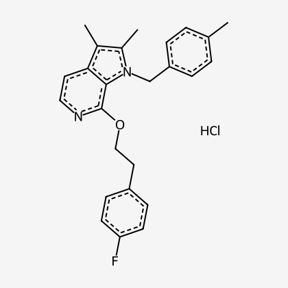 Cc1ccc(Cn2c(C)c(C)c3ccnc(OCCc4ccc(F)cc4)c32)cc1.Cl